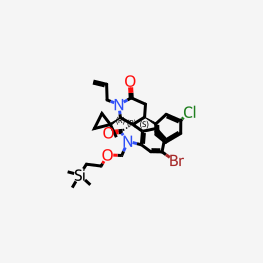 C=CCN1C(=O)C[C@@H](c2cccc(Cl)c2)[C@]2(C(=O)N(COCC[Si](C)(C)C)c3cc(Br)ccc32)[C@H]1C1(C)CC1